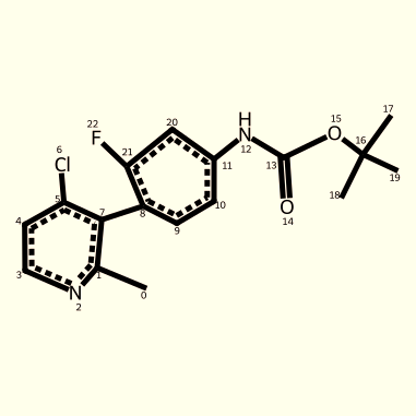 Cc1nccc(Cl)c1-c1ccc(NC(=O)OC(C)(C)C)cc1F